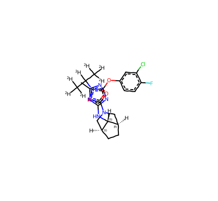 [2H]C([2H])([2H])C([2H])(n1nc(N[C@@H]2[C@@H]3CC[C@H]2CN(c2nc(C)no2)C3)nc1Oc1ccc(F)c(Cl)c1)C([2H])([2H])[2H]